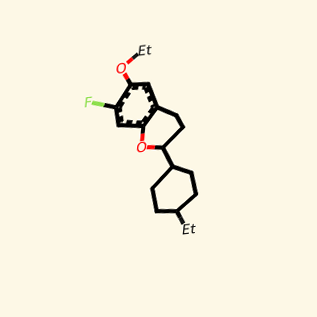 CCOc1cc2c(cc1F)OC(C1CCC(CC)CC1)CC2